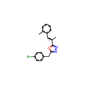 C/C(=C\c1ccccc1C)c1nnc(Cc2ccc(Br)cc2)o1